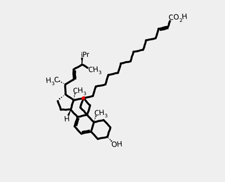 CC(C)[C@@H](C)C=C[C@@H](C)[C@H]1CC[C@H]2C3=CC=C4C[C@@H](O)CC[C@]4(C)C3(CCCCCCCCCCCCCC=CC(=O)O)CC[C@]12C